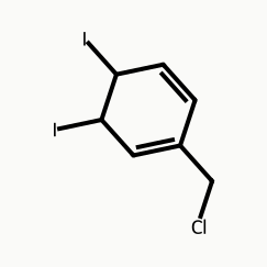 ClCC1=CC(I)C(I)C=C1